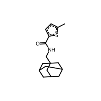 Cc1ccc(C(=O)NCC23CC4CC(CC(C4)C2)C3)s1